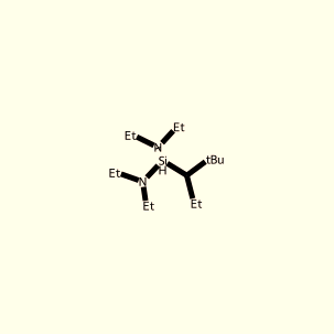 CCC([SiH](N(CC)CC)N(CC)CC)C(C)(C)C